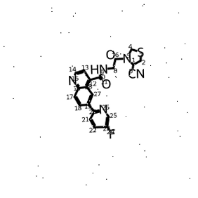 N#CC1CSCN1C(=O)CNC(=O)c1ccnc2ccc(-c3ccc(F)cn3)cc12